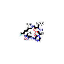 CCC(C(=O)NC(CC(=O)O)C(=O)CN(C)CCCCCCF)n1ccnc(NCc2nonc2C)c1=O